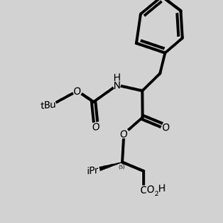 CC(C)[C@H](CC(=O)O)OC(=O)C(Cc1ccccc1)NC(=O)OC(C)(C)C